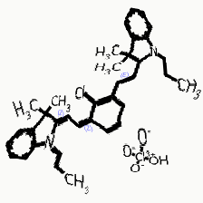 CCCN1/C(=C\C=C2\CCCC(/C=C/C3N(CCC)c4ccccc4C3(C)C)=C2Cl)C(C)(C)c2ccccc21.[O-][Cl+3]([O-])([O-])O